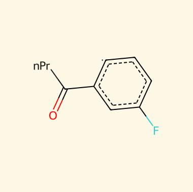 CCCC(=O)c1[c]ccc(F)c1